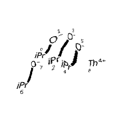 CC(C)[O-].CC(C)[O-].CC(C)[O-].CC(C)[O-].[Th+4]